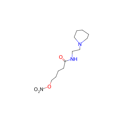 O=C(CCCCO[N+](=O)[O-])NCCN1CCCCC1